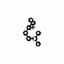 CC1(C)c2cc(-c3cccc(-c4cccc(-c5nc(-c6ccccc6)cc(-c6ccccc6)n5)c4)c3)ccc2-c2c1ccc1ccccc21